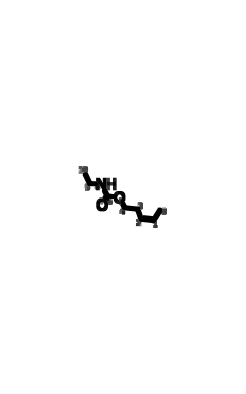 C/C=C\CCOC(=O)NCC